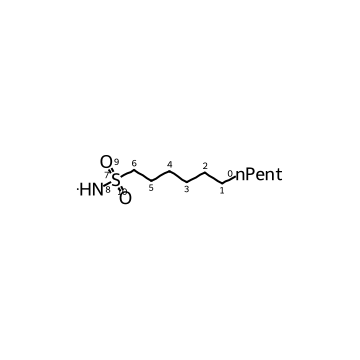 CCCCCCCCCCCS([NH])(=O)=O